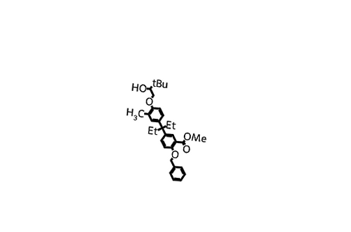 CCC(CC)(c1ccc(OCC(O)C(C)(C)C)c(C)c1)c1ccc(OCc2ccccc2)c(C(=O)OC)c1